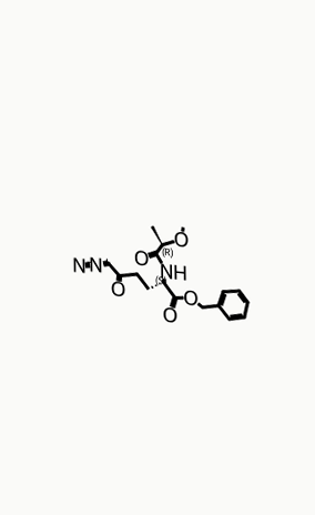 CO[C@H](C)C(=O)N[C@@H](CCC(=O)C=[N+]=[N-])C(=O)OCc1ccccc1